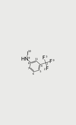 FC(F)(F)c1cccc(NI)c1